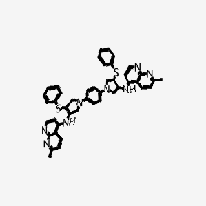 Cc1ccc2c(NC3CN(c4ccc(N5CC(Nc6ccnc7nc(C)ccc67)C(Sc6ccccc6)C5)cc4)CC3Sc3ccccc3)ccnc2n1